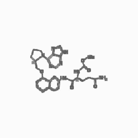 CC(C)(C)OC(=O)N[C@@H](CCC(N)=O)C(=O)Nc1ccc2cccc(OC[C@H]3CCCN3c3ncnc4[nH]cnc34)c2c1